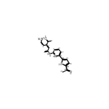 C=C(/C=C(\C=C/N)C(C)=O)Nc1cccc(-c2ccc(C(C)=O)s2)n1